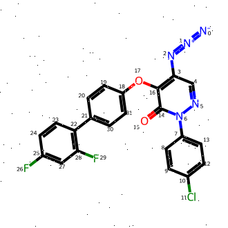 [N-]=[N+]=Nc1cnn(-c2ccc(Cl)cc2)c(=O)c1Oc1ccc(-c2ccc(F)cc2F)cc1